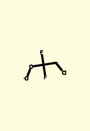 [O]OC(F)(F)[CH]Cl